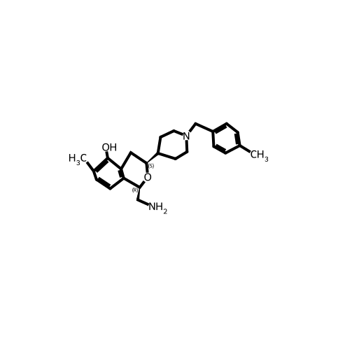 Cc1ccc(CN2CCC([C@@H]3Cc4c(ccc(C)c4O)[C@H](CN)O3)CC2)cc1